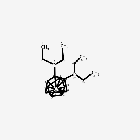 CCP(CC)[C]12[CH]3[CH]4[CH]5[C]1(P(CC)CC)[Cr]43521678[CH]2[CH]1[CH]6[CH]7[CH]28